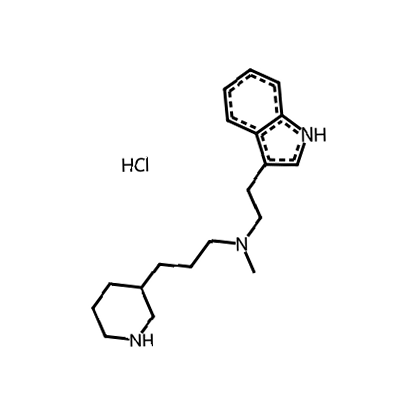 CN(CCCC1CCCNC1)CCc1c[nH]c2ccccc12.Cl